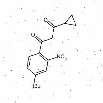 CC(C)(C)c1ccc(C(=O)CC(=O)C2CC2)c([N+](=O)[O-])c1